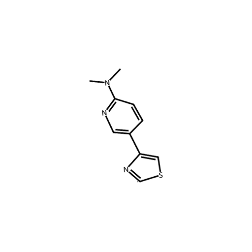 CN(C)c1ccc(-c2cs[c]n2)cn1